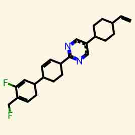 C=CC1CCC(c2cnc(C3C=CC(C4C=C(F)C(CF)=CC4)CC3)nc2)CC1